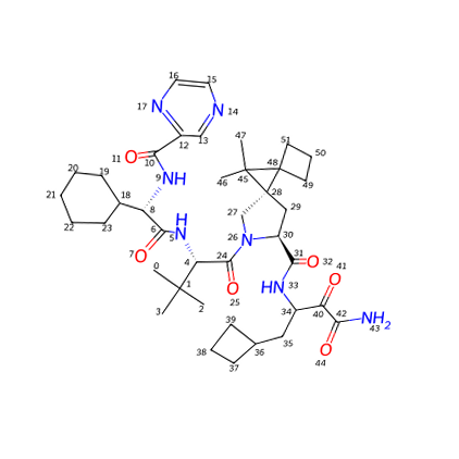 CC(C)(C)[C@H](NC(=O)[C@@H](NC(=O)c1cnccn1)C1CCCCC1)C(=O)N1C[C@]2(C[C@H]1C(=O)NC(CC1CCC1)C(=O)C(N)=O)C(C)(C)C21CCC1